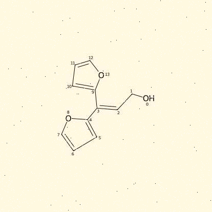 OCC=C(c1ccco1)c1ccco1